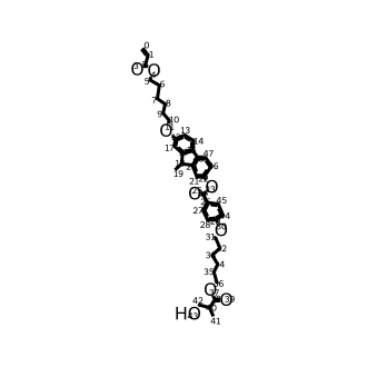 C=CC(=O)OCCCCCCOc1ccc2c(c1)C(C)c1cc(OC(=O)c3ccc(OCCCCCCOC(=O)C(C)CO)cc3)ccc1-2